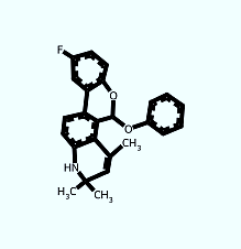 CC1=CC(C)(C)Nc2ccc3c(c21)C(Oc1ccccc1)Oc1ccc(F)cc1-3